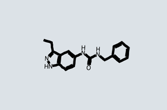 CCc1n[nH]c2ccc(NC(=O)NCc3ccccc3)cc12